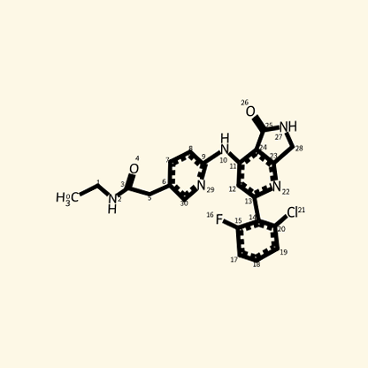 CCNC(=O)Cc1ccc(Nc2cc(-c3c(F)cccc3Cl)nc3c2C(=O)NC3)nc1